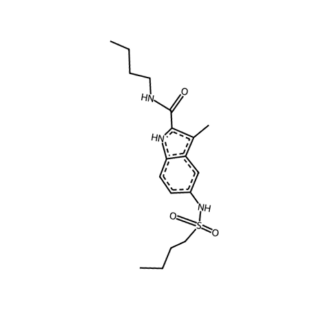 CCCCNC(=O)c1[nH]c2ccc(NS(=O)(=O)CCCC)cc2c1C